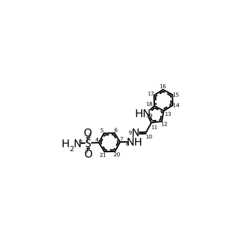 NS(=O)(=O)c1ccc(NN=Cc2cc3ccccc3[nH]2)cc1